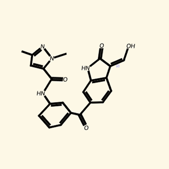 Cc1cc(C(=O)Nc2cccc(C(=O)c3ccc4c(c3)NC(=O)/C4=C\O)c2)n(C)n1